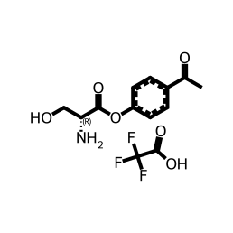 CC(=O)c1ccc(OC(=O)[C@H](N)CO)cc1.O=C(O)C(F)(F)F